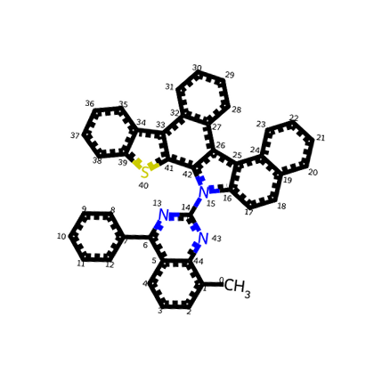 Cc1cccc2c(-c3ccccc3)nc(-n3c4ccc5ccccc5c4c4c5ccccc5c5c6ccccc6sc5c43)nc12